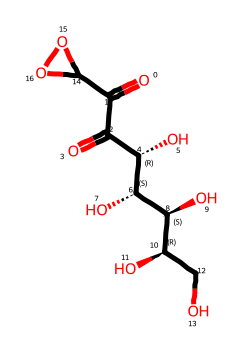 O=C(C(=O)[C@H](O)[C@@H](O)[C@@H](O)[C@H](O)CO)C1OO1